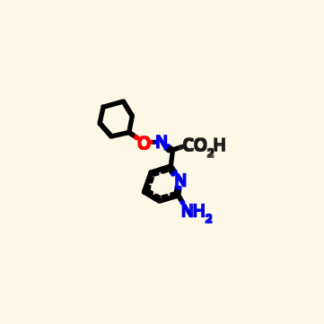 Nc1cccc(/C(=N\OC2CCCCC2)C(=O)O)n1